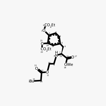 CCOC(=O)Oc1ccc(C[C@H](NCCOC(=O)CC(C)CC)C(=O)OC)cc1OC(=O)OCC